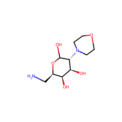 NC[C@H]1OC(O)[C@H](N2CCOCC2)[C@@H](O)[C@H]1O